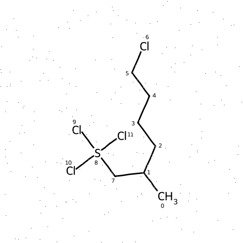 CC(CCCCCl)CS(Cl)(Cl)Cl